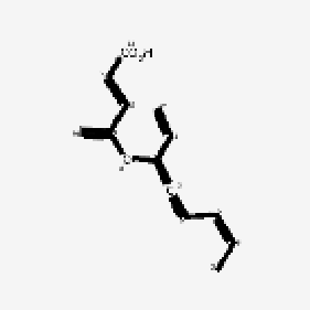 C=CC(=C=C/C=C\C)OC(=C)/C=C/C(=O)O